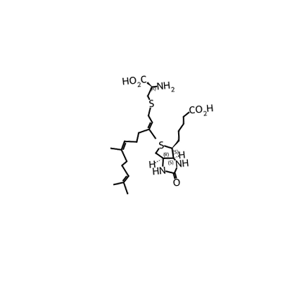 CC(C)=CCCC(C)=CCCC(C)=CCSC[C@H](N)C(=O)O.O=C(O)CCCC[C@@H]1SC[C@@H]2NC(=O)N[C@@H]21